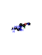 CC(C)Nc1cncc(-c2ccc3[nH]nc(-c4nc5c(-c6cc(F)cc(OCCN7CCCC7)c6)cccc5[nH]4)c3n2)c1